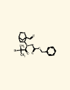 CC(C)(Br)C(=O)N(NC(=O)OCc1ccccc1)C1CC2CCC1(C=O)C2